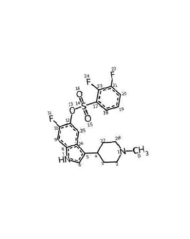 CN1CCC(c2c[nH]c3cc(F)c(OS(=O)(=O)c4cccc(F)c4F)cc23)CC1